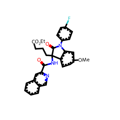 CCOC(=O)CCCC1(NC(=O)c2cc3ccccc3cn2)C(=O)N(c2ccc(F)cc2)c2cc(OC)ccc21